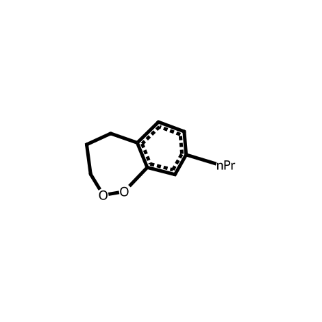 [CH2]CCc1ccc2c(c1)OOCCC2